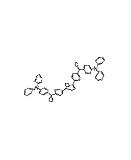 O=C(c1ccc(-c2ccc(-c3ccc(C(=O)c4ccc(N(c5ccccc5)c5ccccc5)cc4)cc3)o2)cc1)c1ccc(N(c2ccccc2)c2ccccc2)cc1